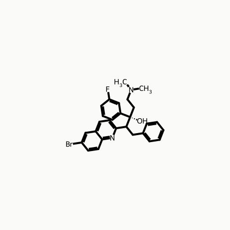 CN(C)CC[C@](O)(c1cccc(F)c1)C(Cc1ccccc1)c1ccc2cc(Br)ccc2n1